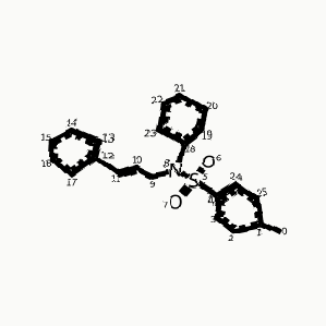 Cc1ccc(S(=O)(=O)N(C/C=C/c2ccccc2)c2ccccc2)cc1